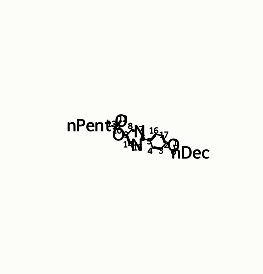 CCCCCCCCCCOc1ccc(-c2ncc(OC(=O)CCCCC)cn2)cc1